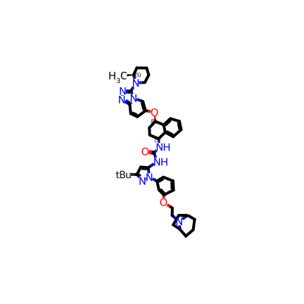 C[C@H]1CCCCN1c1nnc2ccc(O[C@@H]3CC[C@H](NC(=O)Nc4cc(C(C)(C)C)nn4-c4cccc(OCCN5C6CCCC5CC6)c4)c4ccccc43)cn12